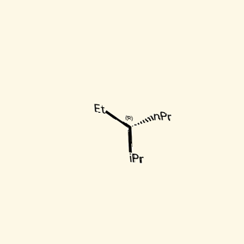 CCC[C@@H](CC)C(C)C